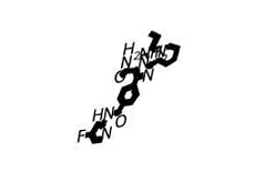 CC=CN1CCCCC1c1nc(-c2ccc(C(=O)Nc3cc(F)ccn3)cc2)c(C(N)=O)n1N